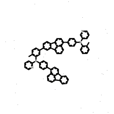 Cc1ccccc1N(c1ccc(-c2ccc3c4c(cccc24)-c2cc(-c4ccc(C)c(N(c5ccc(-c6ccc7c8c(cccc68)-c6ccccc6-7)cc5)c5ccccn5)c4)ccc2-3)cc1)c1cccnc1